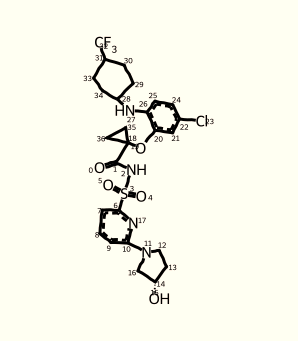 O=C(NS(=O)(=O)c1cccc(N2CC[C@H](O)C2)n1)C1(Oc2cc(Cl)ccc2NC2CCC(C(F)(F)F)CC2)CC1